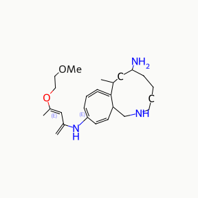 C=C(/C=C(\C)OCCOC)N/C1=C/C=C=C2C(C)CC(N)CCCCNCC2C=C1